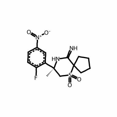 C[C@@]1(c2cc([N+](=O)[O-])ccc2F)CS(=O)(=O)C2(CCCC2)C(=N)N1